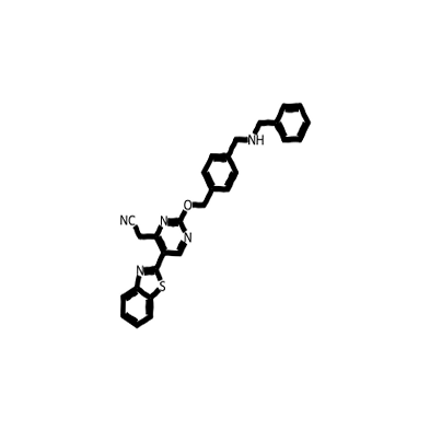 N#CCc1nc(OCc2ccc(CNCc3ccccc3)cc2)ncc1-c1nc2ccccc2s1